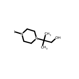 CC(C)(CO)N1CCN(I)CC1